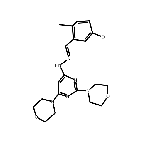 Cc1ccc(O)cc1/C=N/Nc1cc(N2CCOCC2)nc(N2CCOCC2)n1